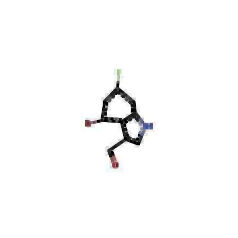 O=Cc1c[nH]c2cc(F)cc(Br)c12